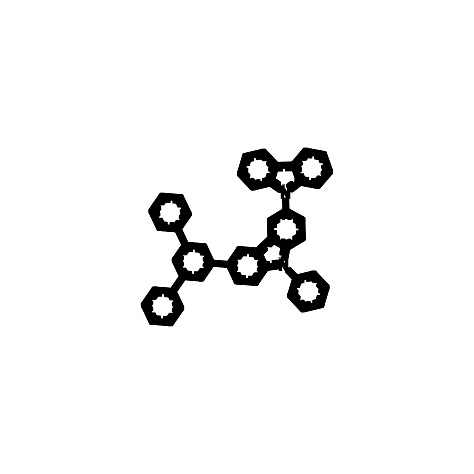 c1ccc(-c2cc(-c3ccccc3)cc(-c3ccc4c(c3)c3cc(-n5c6ccccc6c6ccccc65)ccc3n4-c3ccccc3)c2)cc1